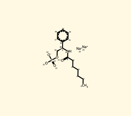 CCCCCCC(=O)N[C@@H](COP(=O)([O-])[O-])c1ccccc1.[Na+].[Na+]